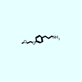 COCCOc1ccc(CCCN)cc1